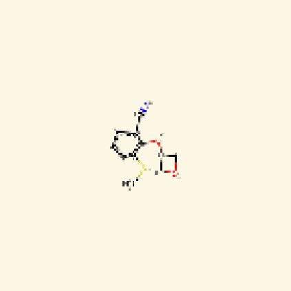 CSc1cccc(C#N)c1OC1COC1